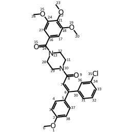 COc1ccc(/C(=C/C(=O)N2CCN(C(=O)c3cc(OC)c(OC)c(OC)c3)CC2)c2cccc(Cl)c2)cc1